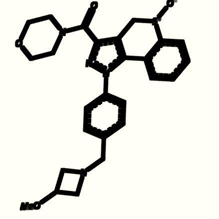 COC1CN(Cc2ccc(-n3nc(C(=O)N4CCOCC4)c4c3-c3ccccc3[S+]([O-])C4)cc2)C1